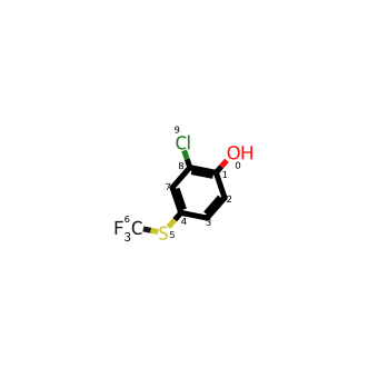 Oc1ccc(SC(F)(F)F)cc1Cl